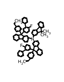 C=Cc1ccc(C2(c3ccc(F)c(-c4ccccc4)c3)c3ccccc3-c3ccc(N(c4ccc5c(c4)C(C)(C)c4ccccc4-5)c4ccc5c(c4)C(c4ccc(C=C)cc4)(c4ccc(F)c(-c6ccccc6)c4)c4ccccc4-5)cc32)cc1